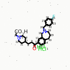 Cl.Cl.O=C(O)CN1CCC(CCC(=O)c2ccc3c(c2)CN(Cc2ccc(F)cc2)CCC3)CC1